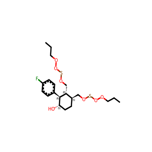 CCCOOSOC[C@H]1CC[C@H](O)[C@@H](c2ccc(F)cc2)[C@@H]1COSOOCCC